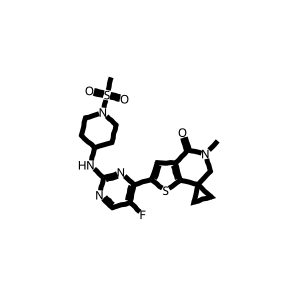 CN1CC2(CC2)c2sc(-c3nc(NC4CCN(S(C)(=O)=O)CC4)ncc3F)cc2C1=O